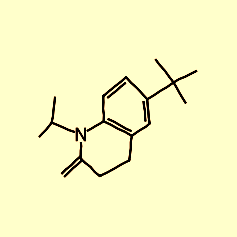 C=C1CCc2cc(C(C)(C)C)ccc2N1C(C)C